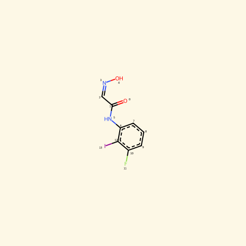 O=C(/C=N\O)Nc1cccc(F)c1I